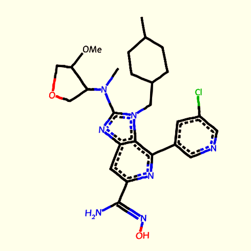 COC1COCC1N(C)c1nc2cc(C(N)=NO)nc(-c3cncc(Cl)c3)c2n1CC1CCC(C)CC1